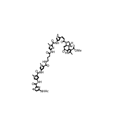 COC(=O)c1c(C)[nH]c2c1[C@@]13C[C@@H]1CN(C(=O)/C=C\c1cc(NC(=O)c4nc(NC(=O)CCCNC(=O)c5cc(NC(=O)c6cc(NC(=O)c7nc(NC(C)=O)cn7C)cn6C)cn5C)cn4C)cn1C)C3=CC2=O